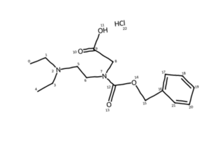 CCN(CC)CCN(CC(=O)O)C(=O)OCc1ccccc1.Cl